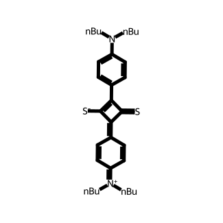 CCCCN(CCCC)c1ccc(C2=C([S-])C(=C3C=CC(=[N+](CCCC)CCCC)C=C3)C2=S)cc1